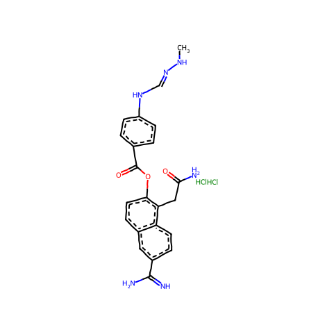 CN/N=C/Nc1ccc(C(=O)Oc2ccc3cc(C(=N)N)ccc3c2CC(N)=O)cc1.Cl.Cl